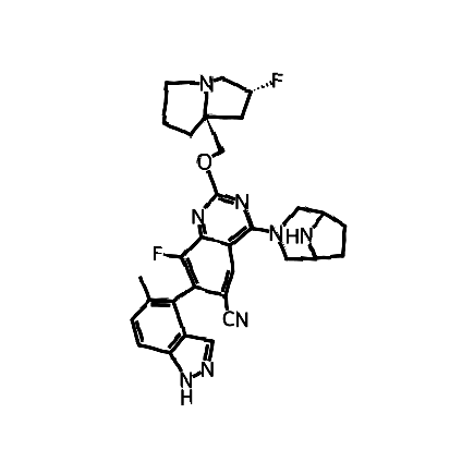 Cc1ccc2[nH]ncc2c1-c1c(C#N)cc2c(N3CC4CCC(C3)N4)nc(OC[C@@]34CCCN3C[C@H](F)C4)nc2c1F